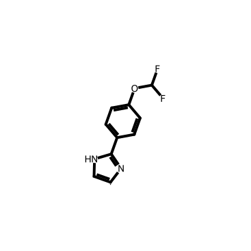 FC(F)Oc1ccc(-c2n[c]c[nH]2)cc1